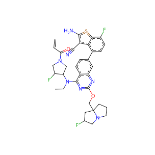 C=CC(=O)N1CC(F)C(N(CC)c2nc(OCC34CCCN3CC(F)C4)nc3cc(-c4ccc(F)c5sc(N)c(C#N)c45)ccc23)C1